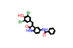 O=C1Nc2ccc(NC(=O)c3ccccc3)cc2C1=Cc1cc(Br)c(O)c(Br)c1